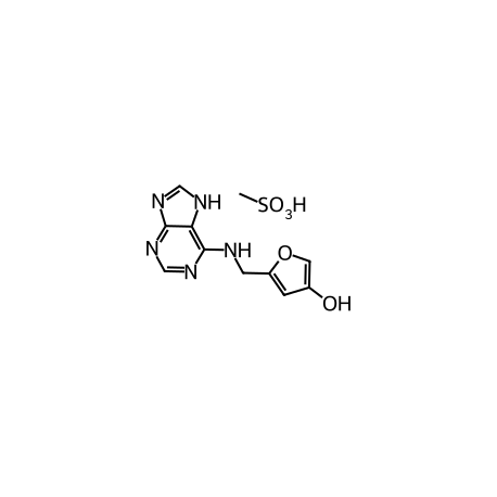 CS(=O)(=O)O.Oc1coc(CNc2ncnc3nc[nH]c23)c1